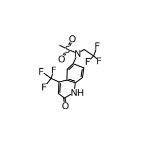 CS(=O)(=O)N(CC(F)(F)F)c1ccc2[nH]c(=O)cc(C(F)(F)F)c2c1